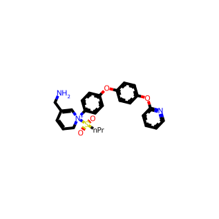 CCCS(=O)(=O)[N+]1(c2ccc(Oc3ccc(Oc4ccccn4)cc3)cc2)C=C(CN)C=CC1